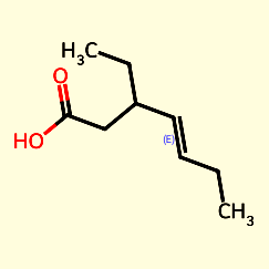 CC/C=C/C(CC)CC(=O)O